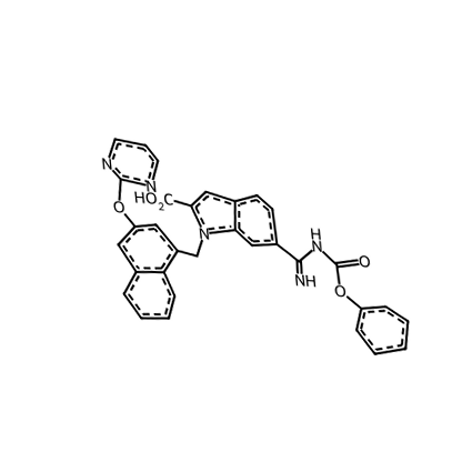 N=C(NC(=O)Oc1ccccc1)c1ccc2cc(C(=O)O)n(Cc3cc(Oc4ncccn4)cc4ccccc34)c2c1